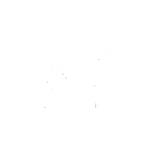 O=C(C1=COc2ccccc2O1)N1CCC(C(c2ccc(F)cc2)c2ccc(F)cc2)CC1